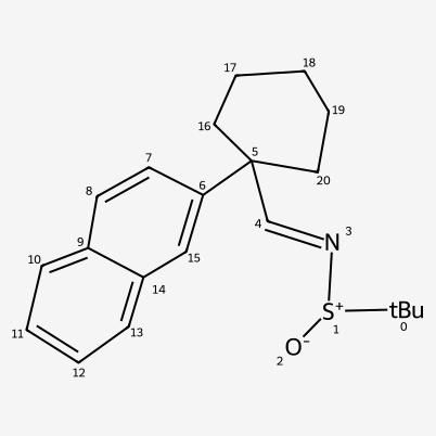 CC(C)(C)[S+]([O-])N=CC1(c2ccc3ccccc3c2)CCCCC1